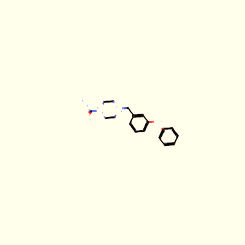 NC(=O)N1CCN(Cc2cccc(Oc3ccccc3)c2)CC1